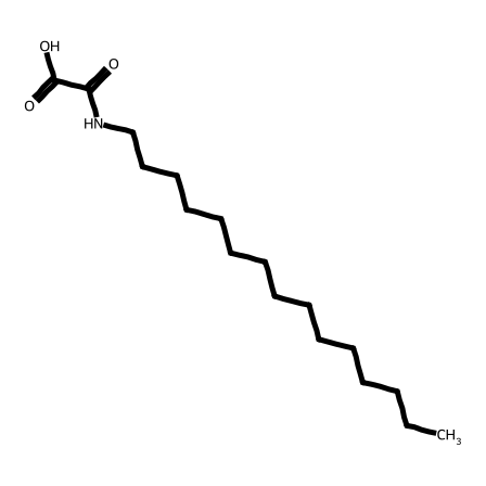 CCCCCCCCCCCCCCCNC(=O)C(=O)O